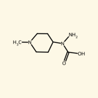 CN1CCC(N(N)C(=O)O)CC1